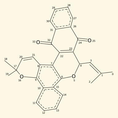 CC(C)=CC1Oc2c(c3c(c4ccccc24)OC(C)(C)C=C3)C2=C1C(=O)c1ccccc1C2=O